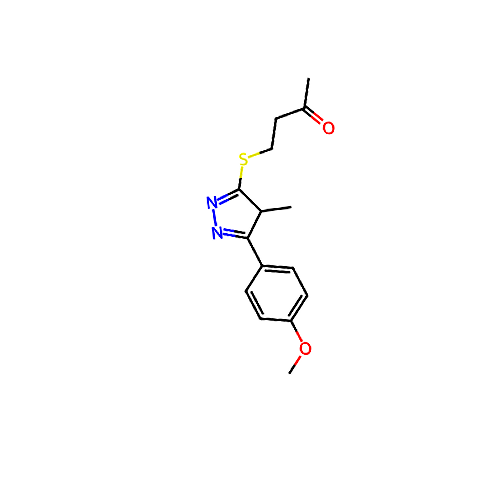 COc1ccc(C2=NN=C(SCCC(C)=O)C2C)cc1